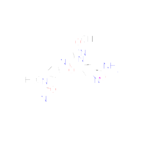 COc1nn(-c2ccc3noc(N)c3c2)c2c1CCN(c1ccc(N(C)C(=O)CN3CCCC3)cc1)C2=O